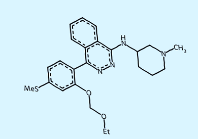 CCOCOc1cc(SC)ccc1-c1nnc(NC2CCCN(C)C2)c2ccccc12